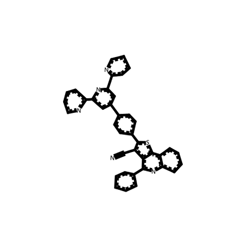 N#Cc1c(-c2ccc(-c3cc(-c4ccccn4)nc(-c4ccccn4)c3)cc2)sc2c1c(-c1ccccc1)nc1ccccc12